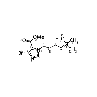 COC(=O)c1c(Br)ncn1COCC[Si](C)(C)C